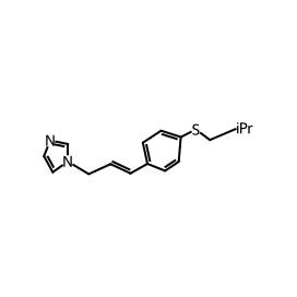 CC(C)CSc1ccc(C=CCn2ccnc2)cc1